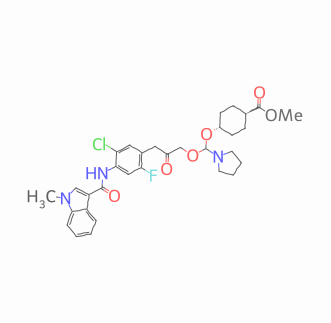 COC(=O)[C@H]1CC[C@H](OC(OCC(=O)Cc2cc(Cl)c(NC(=O)c3cn(C)c4ccccc34)cc2F)N2CCCC2)CC1